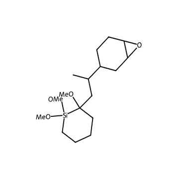 COC1(CC(C)C2CCC3OC3C2)CCCC[Si]1(OC)OC